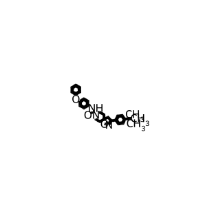 CC(C)(C)c1ccc(C2=NOC3(CCN(C(=O)Nc4ccc(Oc5ccccc5)cc4)CC3)C2)cc1